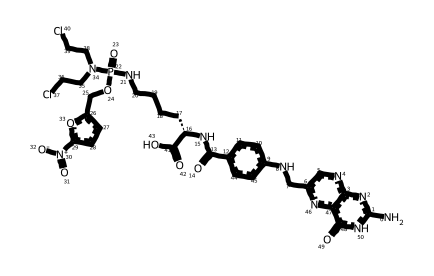 Nc1nc2ncc(CNc3ccc(C(=O)N[C@@H](CCCCNP(=O)(OCc4ccc([N+](=O)[O-])o4)N(CCCl)CCCl)C(=O)O)cc3)nc2c(=O)[nH]1